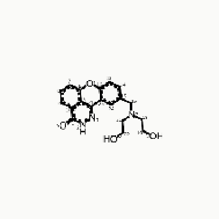 O=c1[nH]nc2c3c(cccc13)Oc1ccc(CN(CCO)CCO)cc1-2